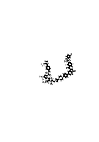 Cc1ncsc1-c1ccc(CNC(=O)[C@@H]2C[C@@H](O)CN2C(=O)C(NC(=O)CN2CC(N3CCN(c4ccc(-c5cnc6[nH]cc(C(=O)c7c(F)ccc(NS(=O)(=O)C8CC[C@@H](F)C8)c7F)c6c5)cc4)CC3)C2)C(C)(C)C)cc1